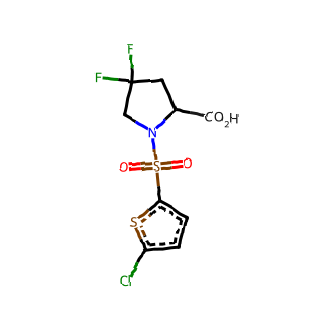 O=C(O)C1CC(F)(F)CN1S(=O)(=O)c1ccc(Cl)s1